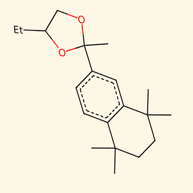 CCC1COC(C)(c2ccc3c(c2)C(C)(C)CCC3(C)C)O1